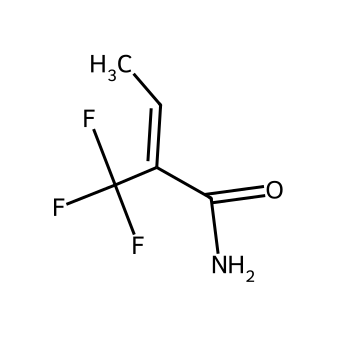 CC=C(C(N)=O)C(F)(F)F